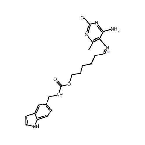 Cc1nc(Cl)nc(N)c1/N=C\CCCCCOC(=O)NCc1ccc2[nH]ccc2c1